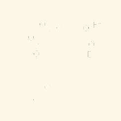 CCOC(C#CC(c1ccc(OC2CCCCO2)cc1)C1C(=O)OC(C)(C)OC1=O)OCC